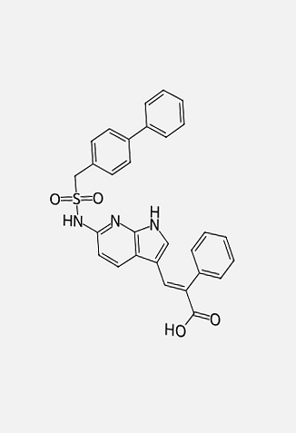 O=C(O)/C(=C/c1c[nH]c2nc(NS(=O)(=O)Cc3ccc(-c4ccccc4)cc3)ccc12)c1ccccc1